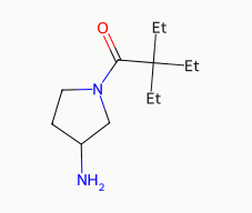 CCC(CC)(CC)C(=O)N1CCC(N)C1